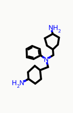 NC1CCC(CN(CC2CCC(N)CC2)c2ccccc2)CC1